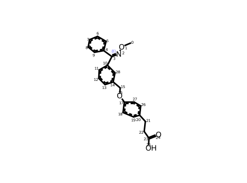 CO/N=C(\c1ccccc1)c1cccc(COc2ccc(CCC(=O)O)cc2)c1